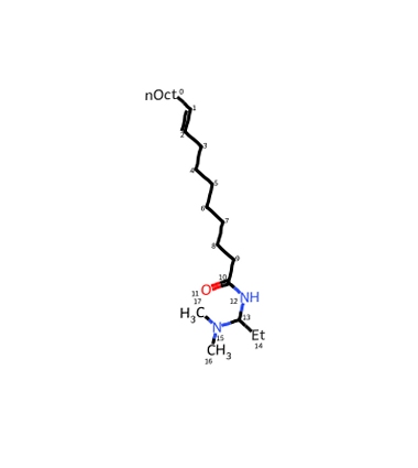 CCCCCCCCC=CCCCCCCCC(=O)NC(CC)N(C)C